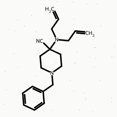 C=CCN(CC=C)C1(C#N)CCN(Cc2ccccc2)CC1